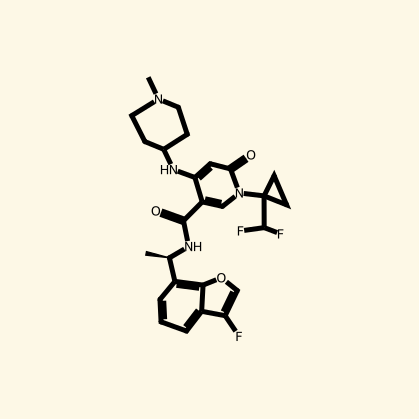 C[C@@H](NC(=O)c1cn(C2(C(F)F)CC2)c(=O)cc1NC1CCN(C)CC1)c1cccc2c(F)coc12